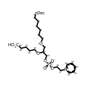 CCCCCCCCCCCCCCCCOCC(COP(=O)([O-])OCC[n+]1ccccc1)OCCCCC(=O)O